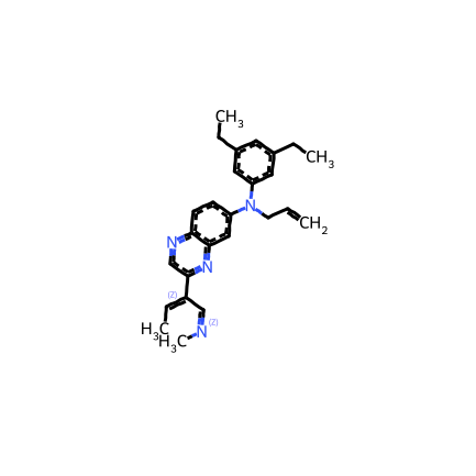 C=CCN(c1cc(CC)cc(CC)c1)c1ccc2ncc(C(/C=N\C)=C/C)nc2c1